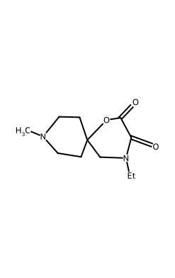 CCN1CC2(CCN(C)CC2)OC(=O)C1=O